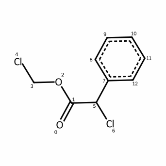 O=C(OCCl)C(Cl)c1ccccc1